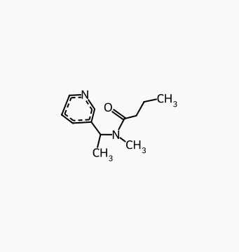 CCCC(=O)N(C)C(C)c1cccnc1